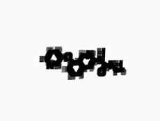 CCNC(=O)Nc1cc2cccc(Oc3cccnc3)c2cn1